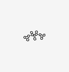 c1ccc(-n2c3cc(-c4ccc5c6ccccc6c6ccccc6c5c4)c4ccccc4c3c3c4ccccc4c(-c4ccc5c6ccccc6c6ccccc6c5c4)cc32)cc1